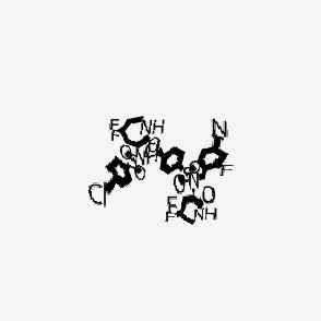 N#Cc1ccc(CN([C@@H]2CC(F)(F)CCNC2=O)S(=O)(=O)c2ccc(Cl)cc2)c(F)c1.O=C1NCCC(F)(F)C[C@H]1NS(=O)(=O)c1ccc(Cl)cc1